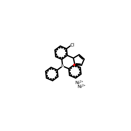 Clc1cccc(P(c2ccccc2)c2ccccc2)c1C1C=CC=C1.[Ni+2].[Ni+2]